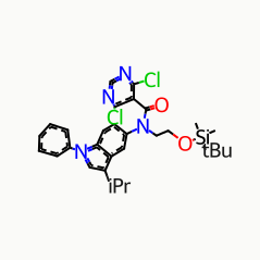 CC(C)c1cn(-c2ccccc2)c2ccc(N(CCO[Si](C)(C)C(C)(C)C)C(=O)c3c(Cl)ncnc3Cl)cc12